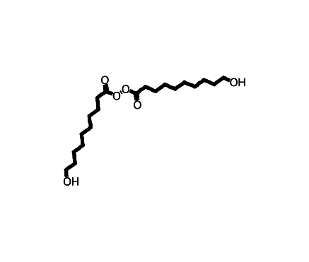 O=C(CCCCCCCCCO)OOC(=O)CCCCCCCCCO